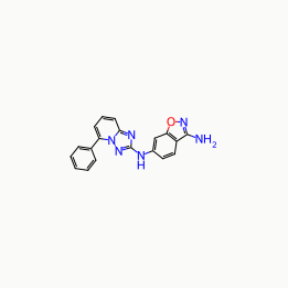 Nc1noc2cc(Nc3nc4cccc(-c5ccccc5)n4n3)ccc12